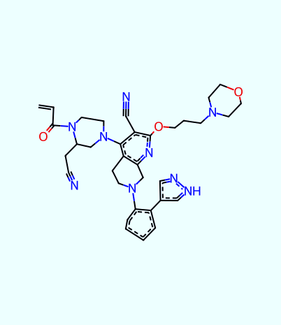 C=CC(=O)N1CCN(c2c(C#N)c(OCCCN3CCOCC3)nc3c2CCN(c2ccccc2-c2cn[nH]c2)C3)CC1CC#N